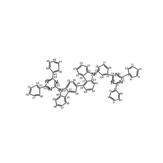 c1ccc(-c2nc(-c3ccccc3)nc(-c3cccc(-n4c5ccccc5c5c(-c6ccc7c(c6)c6ccccc6n7-c6nc(-c7ccccc7)nc(-c7ccccc7)n6)cccc54)c3)n2)cc1